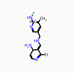 C=C(C)/C=C(\C=N/CNF)CN/C=C1/C(CC)=NC=CC1N